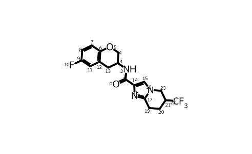 O=C(NC1COc2ccc(F)cc2C1)c1cn2c(n1)CCC(C(F)(F)F)C2